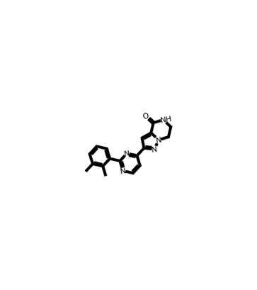 Cc1cccc(-c2nccc(-c3cc4n(n3)CCNC4=O)n2)c1C